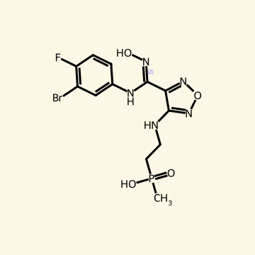 CP(=O)(O)CCNc1nonc1/C(=N/O)Nc1ccc(F)c(Br)c1